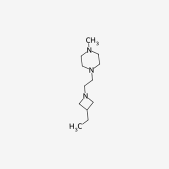 CCC1CN(CCN2CCN(C)CC2)C1